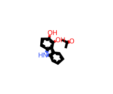 CC(C)=O.Oc1ccc2[nH]c3ccccc3c2c1O